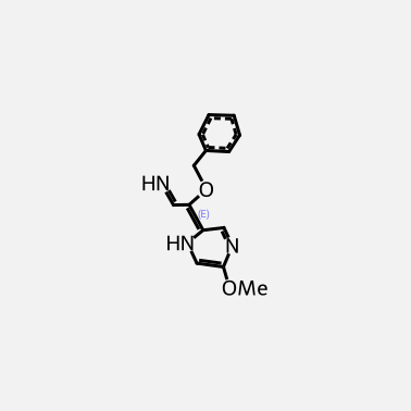 COC1=CN/C(=C(\C=N)OCc2ccccc2)C=N1